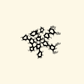 CC(C)(C)c1cc(-c2ccc(N3c4cc(-c5cc(C(C)(C)C)cc(C(C)(C)C)c5)ccc4B4c5cc(-c6ccccc6)cc6c5N(c5ccc(-c7ccccc7)cc5-c5ccccc5-6)c5cc(N(c6ccccc6)c6ccccc6)cc3c54)cc2)cc(C(C)(C)C)c1